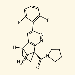 C=C1[C@@H]2CC[C@@]1(C(=O)N1CCCC1)c1nnc(-c3c(F)cccc3F)cc12